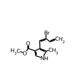 C=C/C(Br)=C\c1c(C(=O)OC)c[nH]c1C